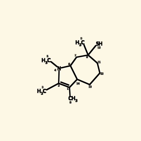 CC1=C(C)N(C)C2CC(C)(S)CCCC12